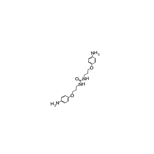 Nc1ccc(OCCCNC(=O)NCCCOc2ccc(N)cc2)cc1